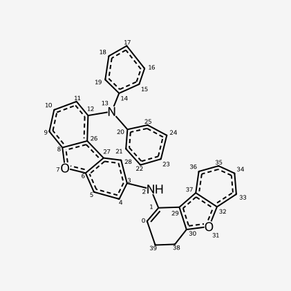 C1=C(Nc2ccc3oc4cccc(N(c5ccccc5)c5ccccc5)c4c3c2)c2c(oc3ccccc23)CC1